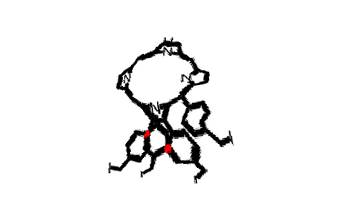 ICc1ccc(-c2c(-c3ccc(CI)cc3)c3c(-c4ccc(CI)cc4)c4nc(cc5ccc(cc6nc(cc2n3-c2ccc(CI)cc2)C=C6)[nH]5)C=C4)cc1